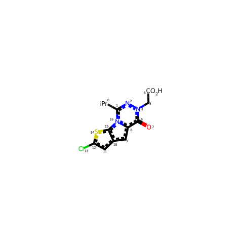 CC(C)c1nn(CC(=O)O)c(=O)c2cc3cc(Cl)sc3n12